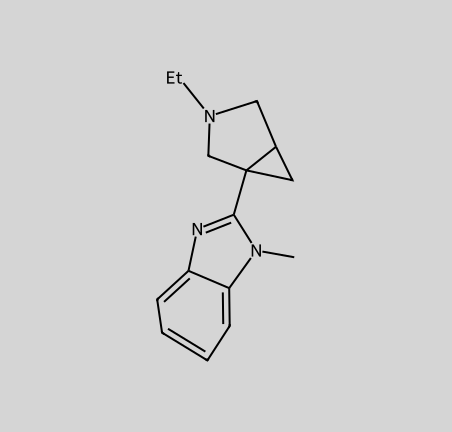 CCN1CC2CC2(c2nc3ccccc3n2C)C1